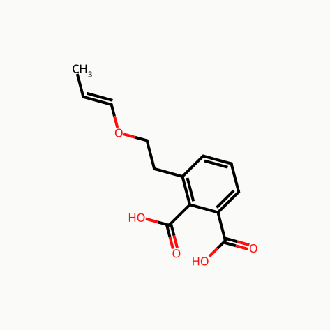 CC=COCCc1cccc(C(=O)O)c1C(=O)O